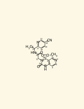 Cc1nccc2c1S(=O)(=O)N(CC(=O)N[C@@H](C)c1ccc(C#N)cn1)C(=O)N2